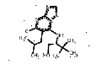 CC(C)Cc1c(Cl)nc2ncnn2c1N[C@H](CO)C(C)(C)C